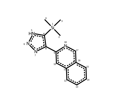 C[Si](C)(C)c1[nH]nnc1-c1cc2ccccc2cn1